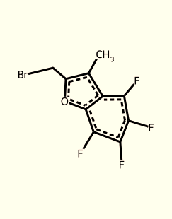 Cc1c(CBr)oc2c(F)c(F)c(F)c(F)c12